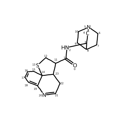 O=C(NC1CN2CCC1CC2)C1CSC23CC=CC=C2N=CCC13